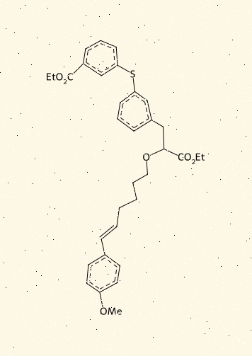 CCOC(=O)c1cccc(Sc2cccc(CC(OCCCCC=Cc3ccc(OC)cc3)C(=O)OCC)c2)c1